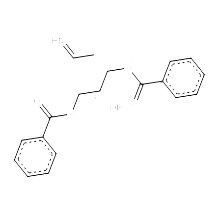 N=CC[C@H](OC(=O)c1ccccc1)[C@H](O)COC(=O)c1ccccc1